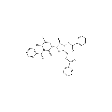 O=C(OC[C@H]1O[C@@H](n2cc(I)c(=O)n(C(=O)c3ccccc3)c2=O)[C@@H](F)[C@@H]1OC(=O)c1ccccc1)c1ccccc1